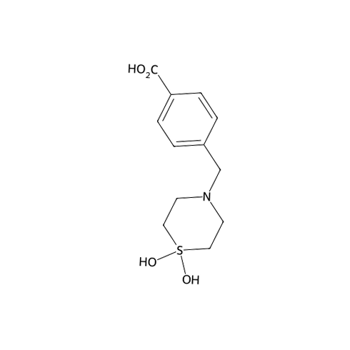 O=C(O)c1ccc(CN2CCS(O)(O)CC2)cc1